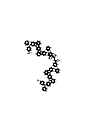 CC(C)c1ccc(N(c2ccccc2)c2ccc3c4cccc5c6cc7c(cc6n(c3c2)c45)c2cccc3c4ccc(N(c5ccccc5)c5ccc(C(C)CCC(C)(C)c6ccc(N(c8ccccc8)c8ccc9c%10cccc%11c%12cc%13c(cc%12n(c9c8)c%10%11)c8cccc9c%10ccc(N(c%11ccccc%11)c%11ccc(C(C)(C)C)cc%11)cc%10n%13c98)cc6)cc5)cc4n7c32)cc1